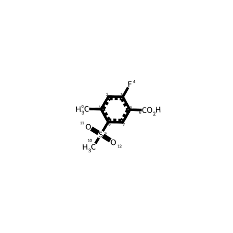 Cc1cc(F)c(C(=O)O)cc1S(C)(=O)=O